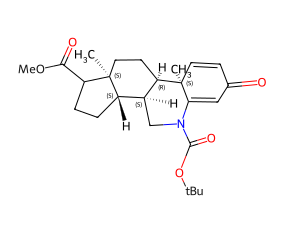 COC(=O)C1CC[C@H]2[C@@H]3CN(C(=O)OC(C)(C)C)C4=CC(=O)C=C[C@]4(C)[C@@H]3CC[C@]12C